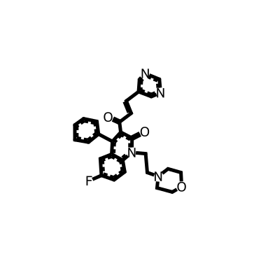 O=C(/C=C/c1cncnc1)c1c(-c2ccccc2)c2cc(F)ccc2n(CCN2CCOCC2)c1=O